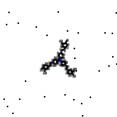 Cc1ccc(/C=C/c2ccc(N(c3ccc(/C=C/c4ccc(C)c(C)c4)cc3)c3ccc(/C=C/c4ccc(C)c(C)c4)cc3)cc2)cc1C